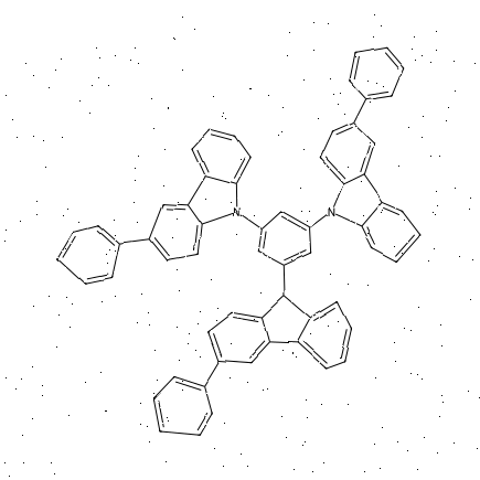 c1ccc(-c2ccc3c(c2)-c2ccccc2C3c2cc(-n3c4ccccc4c4cc(-c5ccccc5)ccc43)cc(-n3c4ccccc4c4cc(-c5ccccc5)ccc43)c2)cc1